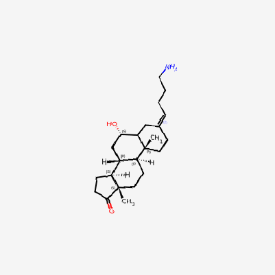 C[C@]12CC/C(=C/CCCN)CC1[C@@H](O)C[C@@H]1[C@@H]2CC[C@]2(C)C(=O)CC[C@@H]12